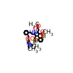 CCN(CC)CCOCc1ccccc1CCC1=C(C(=O)OC)C(c2c(Cl)cccc2Cl)C(C(=O)OC)=C(CC(=O)OC)N1